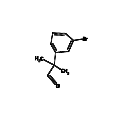 CC(C)(C=O)c1cccc(Br)c1